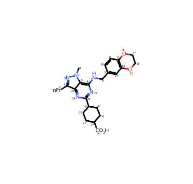 CCCc1nn(C)c2c(NCc3ccc4c(c3)OCCO4)nc(C3CCC(C(=O)O)CC3)nc12